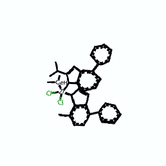 CC1=Cc2c(-c3ccccc3)ccc(C)c2[CH]1[Zr]([Cl])([Cl])([CH]1C(C(C)C)=Cc2c(-c3ccccc3)cccc21)[GeH]([CH3])[CH3]